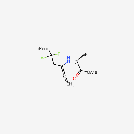 C=C=C(CC(F)(F)CCCCC)N[C@H](C(=O)OC)C(C)C